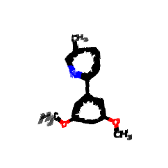 COc1cc(OC)cc(-c2ccc(C)cn2)c1